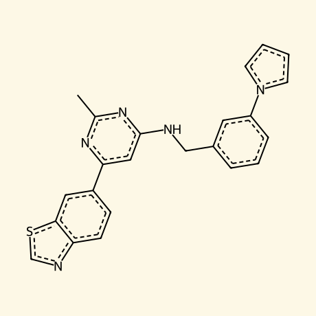 Cc1nc(NCc2cccc(-n3cccc3)c2)cc(-c2ccc3ncsc3c2)n1